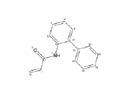 C=CC(=O)Nc1ccccc1-c1ccccc1